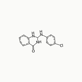 O=C1NC(Nc2ccc(Cl)cc2)Nc2ccccc21